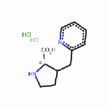 Cl.Cl.O=C(O)[C@H]1NCCC1Cc1ccccn1